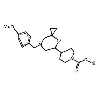 COc1ccc(CN2CC(C3CCN(C(=O)OC(C)(C)C)CC3)OC3(CC3)C2)cc1